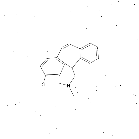 CN(C)CC1c2ccccc2C=Cc2ccc(Cl)cc21